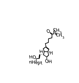 CCCCCCC[C@@H](O)/C=C/[C@@H]1[C@H]2CC(CCCCC(=O)N(C)C)=C[C@H]2C[C@H]1O